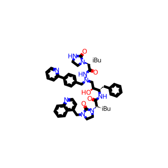 CC[C@H](C)[C@@H](C(=O)NN(Cc1ccc(-c2ccccn2)cc1)C[C@H](O)[C@H](Cc1ccccc1)NC(=O)[C@H]([C@@H](C)CC)N1CCN(Cc2ccnc3ccccc23)C1=O)N1CCNC1=O